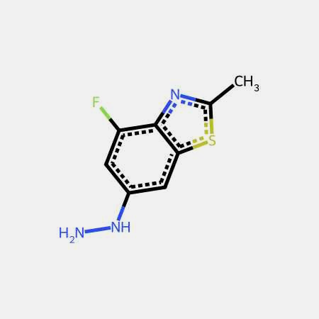 Cc1nc2c(F)cc(NN)cc2s1